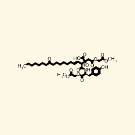 CCCCCCCC(=O)CCCCCC/C=C/[C@H](C(=O)N[C@@H](Cc1ccc(O)cc1)C(=O)OCC(=O)OC)[C@@](O)(CC(=O)OCC(=O)OC)C(=O)O